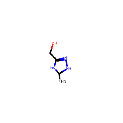 O=CC1NN=C(CO)N1